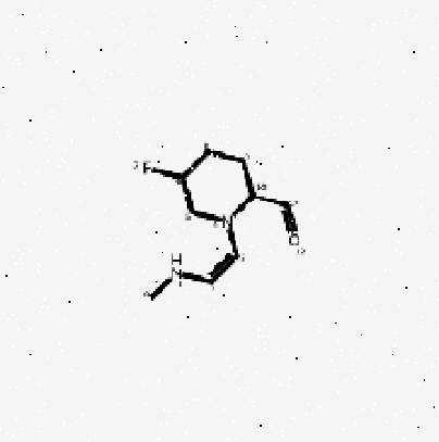 CN/C=C\N1CC(F)CC[C@H]1C=O